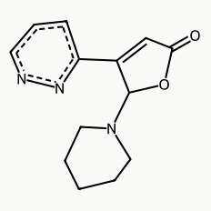 O=C1C=C(c2cccnn2)C(N2CCCCC2)O1